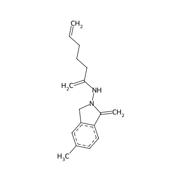 C=CCCCC(=C)NN1Cc2cc(C)ccc2C1=C